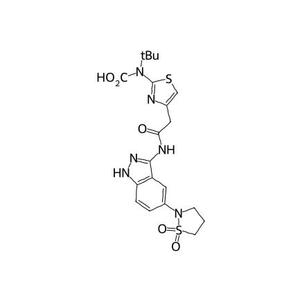 CC(C)(C)N(C(=O)O)c1nc(CC(=O)Nc2n[nH]c3ccc(N4CCCS4(=O)=O)cc23)cs1